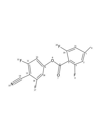 Cc1cc(F)c(C(=O)Oc2cc(F)c(C#N)c(F)c2)c(F)c1